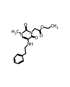 CCOC(=O)Cn1c(=O)c(NCCc2ccccc2)cn(C)c1=O